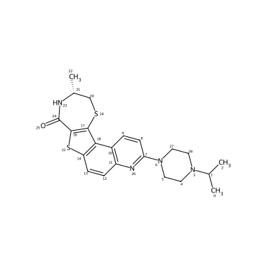 CC(C)N1CCN(c2ccc3c(ccc4sc5c(c43)SC[C@@H](C)NC5=O)n2)CC1